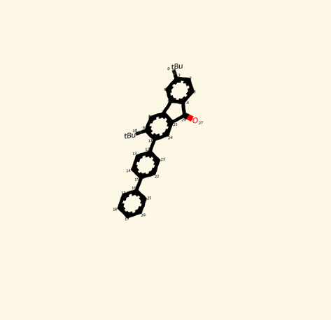 CC(C)(C)c1ccc2c(c1)-c1cc(C(C)(C)C)c(-c3ccc(-c4ccccc4)cc3)cc1C2=O